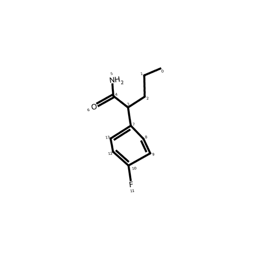 CCCC(C(N)=O)c1ccc(F)cc1